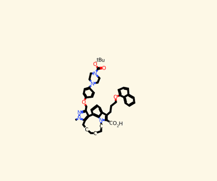 Cn1nc(COc2ccc(N3CCN(C(=O)OC(C)(C)C)CC3)cc2)c2c1CCCCCCn1c(C(=O)O)c(CCCOc3cccc4ccccc34)c3cccc-2c31